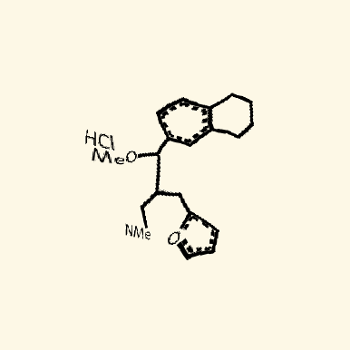 CNCC(Cc1ccco1)C(OC)c1ccc2c(c1)CCCC2.Cl